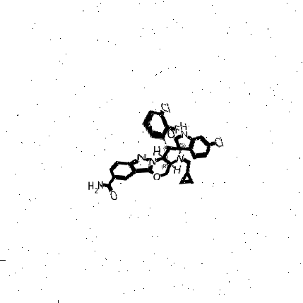 NC(=O)c1ccc2nn3c(c2c1)OC[C@H]1[C@@H]3[C@H](c2cccc(Cl)c2F)[C@]2(C(=O)Nc3cc(Cl)ccc32)N1CC1CC1